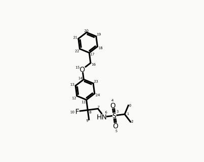 CC(C)S(=O)(=O)NCC(C)(F)c1ccc(OCc2ccccc2)cc1